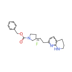 O=C(OCc1ccccc1)N1CC[C@@](F)(CCc2ccc3c(n2)NCCC3)C1